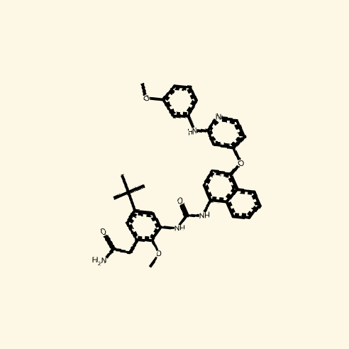 COc1cccc(Nc2cc(Oc3ccc(NC(=O)Nc4cc(C(C)(C)C)cc(CC(N)=O)c4OC)c4ccccc34)ccn2)c1